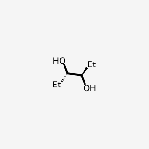 CC[C@@H](O)[C@@H](O)CC